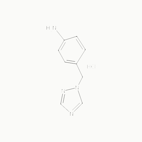 Cl.Nc1ccc(Cn2cncn2)cc1